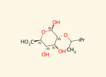 CC(C)C(C)O[C@@H]1[C@@H](O)[C@H](O)[C@@H](C(=O)O)O[C@H]1O